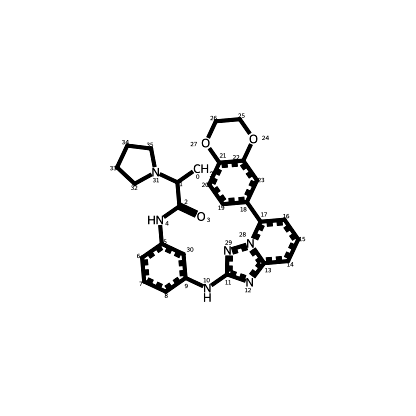 CC(C(=O)Nc1cccc(Nc2nc3cccc(-c4ccc5c(c4)OCCO5)n3n2)c1)N1CCCC1